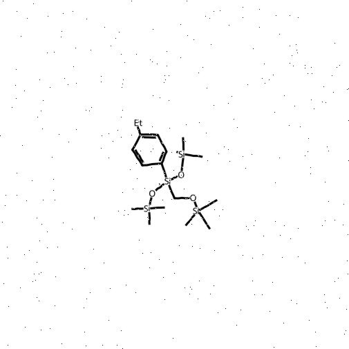 CCc1ccc([Si](CO[Si](C)(C)C)(O[Si](C)(C)C)O[Si](C)(C)C)cc1